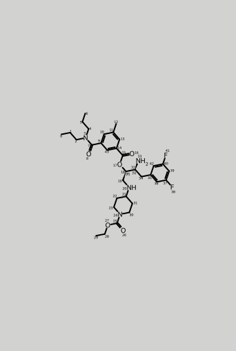 CCCN(CCC)C(=O)c1cc(C)cc(C(=O)O[C@H](CNC2CCN(C(=O)OCC)CC2)[C@@H](N)Cc2cc(F)cc(F)c2)c1